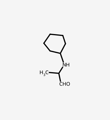 CC(C=O)NC1CCCCC1